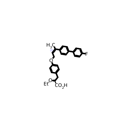 CCO[C@@H](Cc1ccc(OC/C=C(/C)c2ccc(-c3ccc(F)cc3)cc2)cc1)C(=O)O